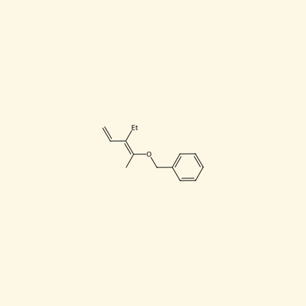 C=C/C(CC)=C(\C)OCc1ccccc1